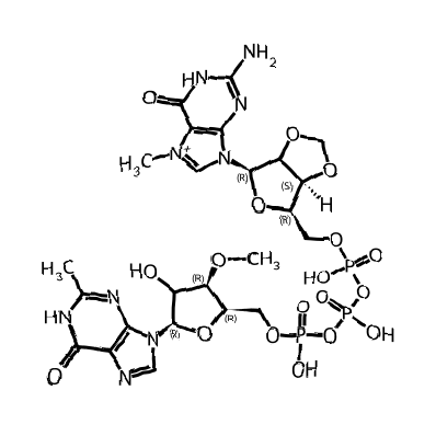 CO[C@@H]1C(O)[C@H](n2cnc3c(=O)[nH]c(C)nc32)O[C@@H]1COP(=O)(O)OP(=O)(O)OP(=O)(O)OC[C@H]1O[C@@H](n2c[n+](C)c3c(=O)[nH]c(N)nc32)C2OCO[C@H]21